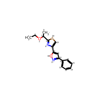 [CH2]C(OCC)c1nc(-c2cc(-c3ccccc3)no2)cs1